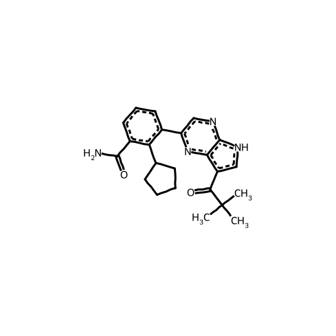 CC(C)(C)C(=O)c1c[nH]c2ncc(-c3cccc(C(N)=O)c3C3CCCC3)nc12